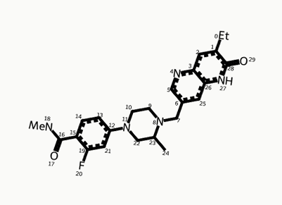 CCc1cc2ncc(CN3CCN(c4ccc(C(=O)NC)c(F)c4)CC3C)cc2[nH]c1=O